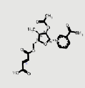 CC(=O)O[C@@H]1[C@H](C)[C@@H](COC(=O)/C=C/C(=O)O)O[C@H]1[n+]1cccc(C(N)=O)c1